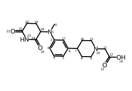 CN(c1cccc(C2CCN(CC(=O)O)CC2)c1)C1CCC(=O)NC1=O